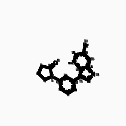 O=C1CCCN1c1cccc(-n2cnc3cc(Br)cnc32)c1